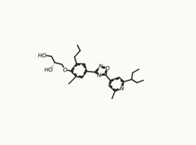 CCCc1cc(-c2noc(-c3cc(C)nc(C(CC)CC)c3)n2)cc(C)c1OC[C@H](O)CO